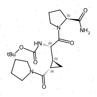 CC(C)(C)OC(=O)N[C@H](C(=O)N1CCC[C@H]1C(N)=O)[C@H]1C[C@@H]1C(=O)N1CCCC1